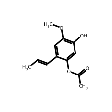 CC=Cc1cc(OC)c(O)cc1OC(C)=O